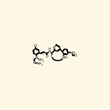 N/N=C\N(N)c1ccc(Cl)cc1/C=C/C(=O)N[C@H]1CCCCCNc2cc(NC=O)ccc2-c2ccnc1c2